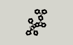 c1ccc(-c2nc3c(c4cc5c6ccccc6n(-c6ccc([SiH](c7ccccc7)c7ccccc7)cc6)c5cc4n3-c3ccccc3)n2-c2ccccc2)cc1